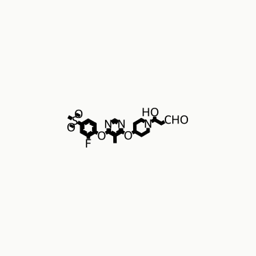 Cc1c(Oc2ccc(S(C)(=O)=O)cc2F)ncnc1OC1CCN(C(O)CC=O)CC1